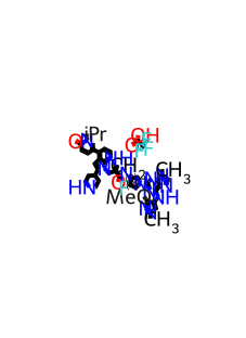 C=C(Cn1c(C2CCNCC2)cc2c(-c3ccc(=O)n(C(C)C)c3)ccnc21)C(=O)N[C@@H]1CN(c2nc(Nc3cn(C)nc3OC)c3ncn(C)c3n2)C[C@H]1F.O=C(O)C(F)(F)F